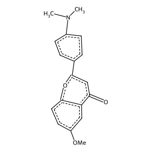 COc1ccc2oc(-c3ccc(N(C)C)cc3)cc(=O)c2c1